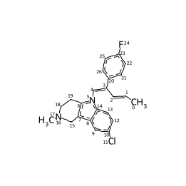 CC=CC(=Cn1c2c(c3cc(Cl)ccc31)CN(C)CC2)c1ccc(F)cc1